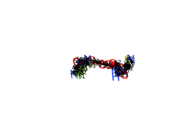 Cc1ncsc1-c1ccc(CNC(=O)C2CCCN2C(=O)C(NC(=O)COCCOCCCCOc2ncc(N3C(=S)N(c4ccc(C#N)c(C(F)(F)F)c4F)C(=O)C3(C)C)cc2F)C(C)(C)C)cc1